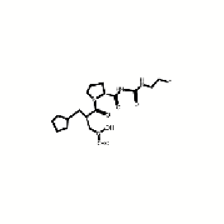 O=CN(O)C[C@@H](CC1CCCC1)C(=O)N1CCC[C@H]1C(=O)NC(=O)NCCF